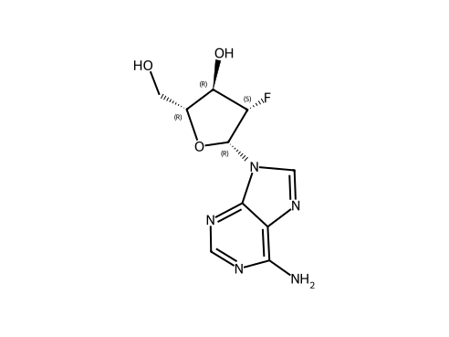 Nc1ncnc2c1ncn2[C@@H]1O[C@H](CO)[C@@H](O)[C@@H]1F